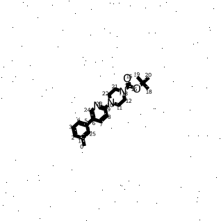 Cc1cccc(-c2ccc(N3CCN(C(=O)OC(C)(C)C)CC3)nc2)c1